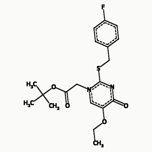 CCOc1cn(CC(=O)OC(C)(C)C)c(SCc2ccc(F)cc2)nc1=O